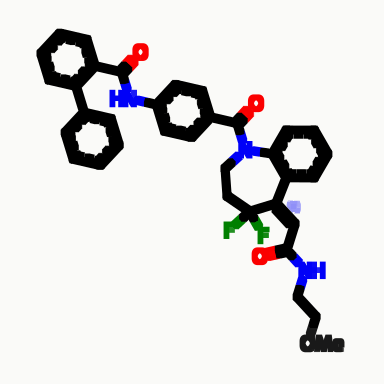 COCCNC(=O)/C=C1/c2ccccc2N(C(=O)c2ccc(NC(=O)c3ccccc3-c3ccccc3)cc2)CCC1(F)F